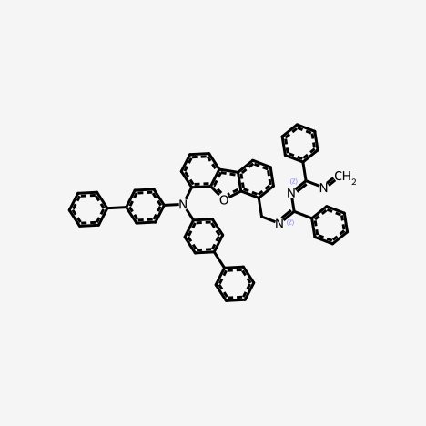 C=N/C(=N\C(=N/Cc1cccc2c1oc1c(N(c3ccc(-c4ccccc4)cc3)c3ccc(-c4ccccc4)cc3)cccc12)c1ccccc1)c1ccccc1